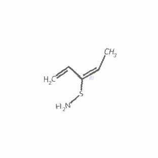 C=C/C(=C\C)SN